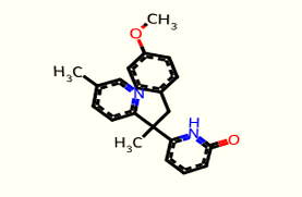 COc1ccc(CC(C)(c2ccc(C)cn2)c2cccc(=O)[nH]2)cc1